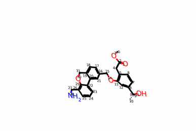 COC(=O)Cc1ccc([C@@H](C)O)cc1OCc1ccc2c(c1)-c1cccc(CN)c1OC2